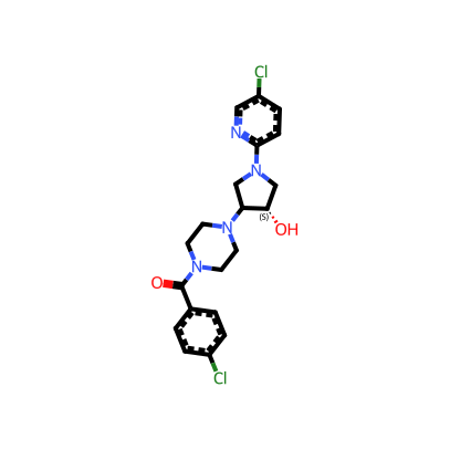 O=C(c1ccc(Cl)cc1)N1CCN(C2CN(c3ccc(Cl)cn3)C[C@@H]2O)CC1